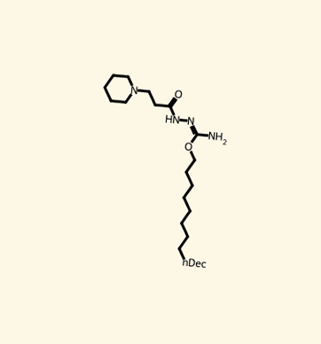 CCCCCCCCCCCCCCCCCCOC(N)=NNC(=O)CCN1CCCCC1